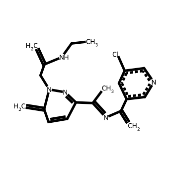 C=C(CN1N=C(/C(C)=N/C(=C)c2cncc(Cl)c2)C=CC1=C)NCC